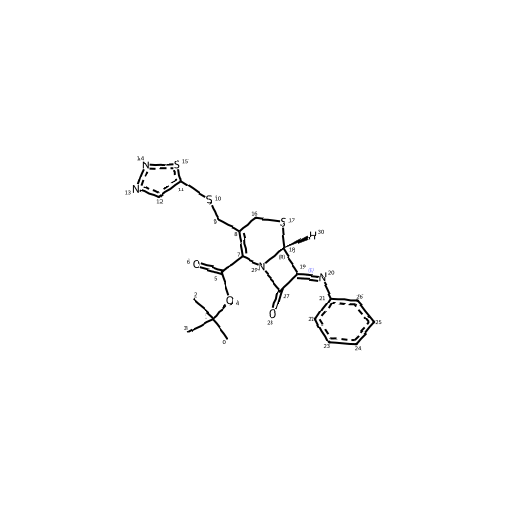 CC(C)(C)OC(=O)C1=C(CSc2cnns2)CS[C@@H]2/C(=N/c3ccccc3)C(=O)N12